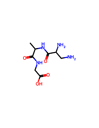 CC(NC(=O)C(N)CN)C(=O)NCC(=O)O